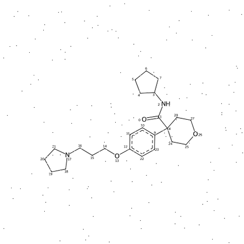 O=C(NC1CCCC1)C1(c2ccc(OCCCN3CCCC3)cc2)CCOCC1